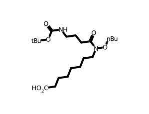 CCCCON(CCCCCCCC(=O)O)C(=O)CCCNC(=O)OC(C)(C)C